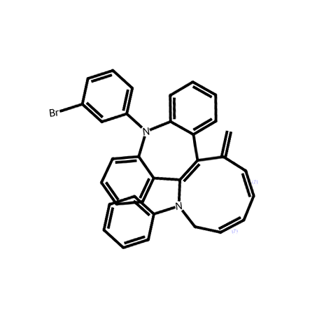 C=C1/C=C\C=C/CN(c2ccccc2)C2=C1c1ccccc1N(c1cccc(Br)c1)c1ccccc12